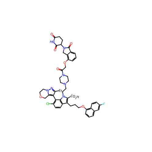 CCc1nn2c(c1-c1c(Cl)ccc3c(CCCOc4cccc5cc(F)ccc45)c(C(=O)O)n(CCN4CCN(C(=O)COc5cccc6c5CN(C5CCC(=O)NC5=O)C6=O)CC4)c13)COCC2